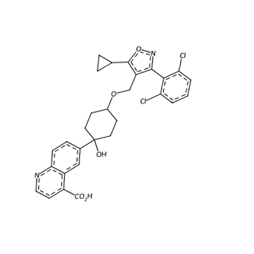 O=C(O)c1ccnc2ccc(C3(O)CCC(OCc4c(-c5c(Cl)cccc5Cl)noc4C4CC4)CC3)cc12